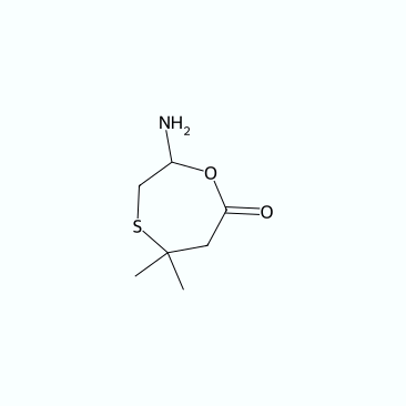 CC1(C)CC(=O)OC(N)CS1